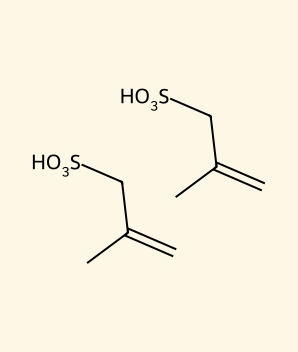 C=C(C)CS(=O)(=O)O.C=C(C)CS(=O)(=O)O